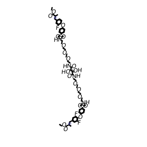 CCOC(=O)/C(C)=C/c1ccc(Oc2ccc(S(=O)(=O)NCCOCCOCCOCCNC(=O)[C@H](O)[C@@H](O)C(=O)NCCOCCOCCOCCNS(=O)(=O)c3ccc(Oc4c(F)cc(/C=C(\C)C(=O)OCC)cc4F)cc3)cc2)c(F)c1